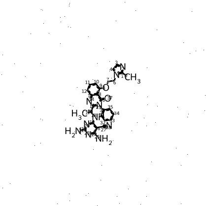 Cc1nccn1CCOc1cccc2nc([C@H](C)Nc3nc(N)nc(N)c3C#N)n(-c3ccccc3)c(=O)c12